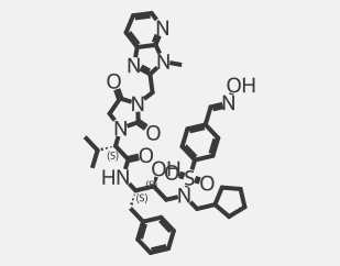 CC(C)[C@@H](C(=O)N[C@@H](Cc1ccccc1)[C@@H](O)CN(CC1CCCC1)S(=O)(=O)c1ccc(C=NO)cc1)N1CC(=O)N(Cc2nc3cccnc3n2C)C1=O